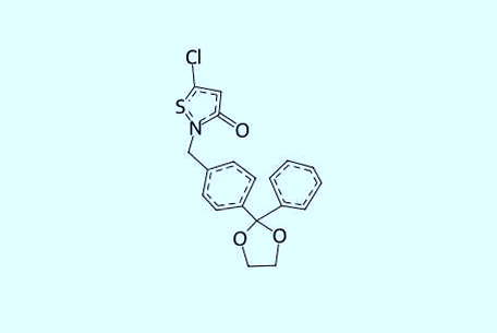 O=c1cc(Cl)sn1Cc1ccc(C2(c3ccccc3)OCCO2)cc1